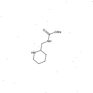 COC(=O)NCC1CCCCN1